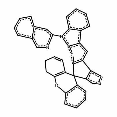 C1=CC2=C(CC1)Oc1ccccc1C21c2ccccc2-c2cc3c4ccccc4n(-c4cc5ccccc5cn4)c3cc21